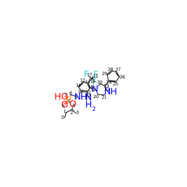 CCC(C)OP(=O)(O)CNc1ccc(C(F)(F)F)c(N2CCNC(c3ccccc3)C2)c1N